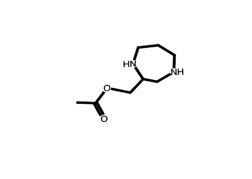 CC(=O)OCC1CNCCCN1